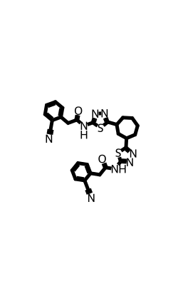 N#Cc1ccccc1CC(=O)Nc1nnc(C2CCCCC(c3nnc(NC(=O)Cc4ccccc4C#N)s3)C2)s1